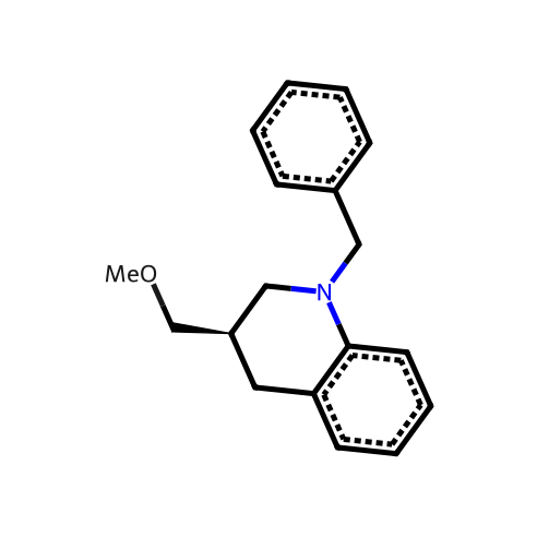 COC[C@@H]1Cc2ccccc2N(Cc2ccccc2)C1